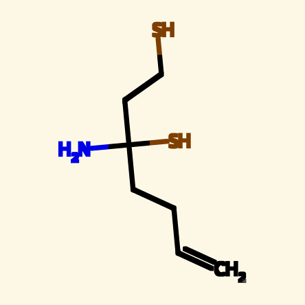 C=CCCC(N)(S)CCS